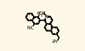 Cc1c(-c2c3ccc4cc(CC(C)C)ccc4c3cc[n+]2C)cc(C#N)c2ccccc12